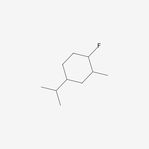 CC(C)C1CCC(F)C(C)C1